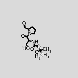 CC(C)(C)OC(=O)NC(CO)C(=O)N1CCCC1C=O